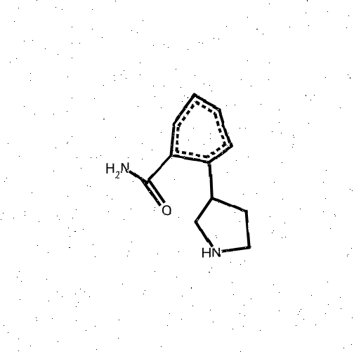 NC(=O)c1ccccc1C1CCNC1